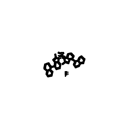 CC1=Cc2c(-c3cccc4ccccc34)cccc2[CH]1[Zr+2]([CH]1C(C)=Cc2c(-c3cccc4ccccc34)cccc21)=[Si](C)C.[F-].[F-]